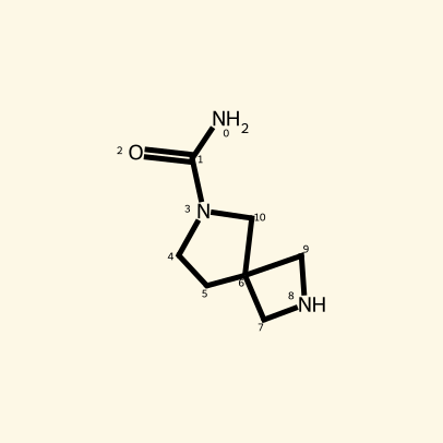 NC(=O)N1CCC2(CNC2)C1